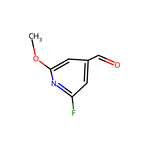 COc1cc(C=O)cc(F)n1